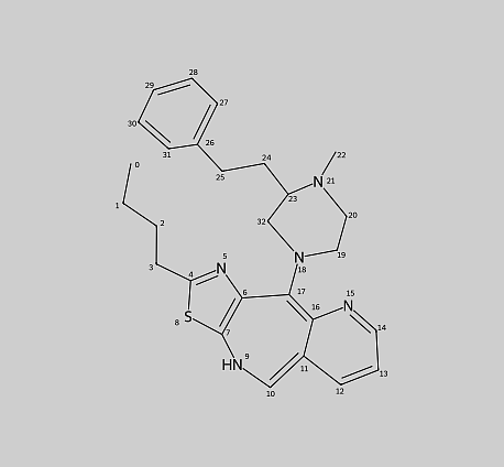 CCCCc1nc2c(s1)NC=c1cccnc1=C2N1CCN(C)C(CCc2ccccc2)C1